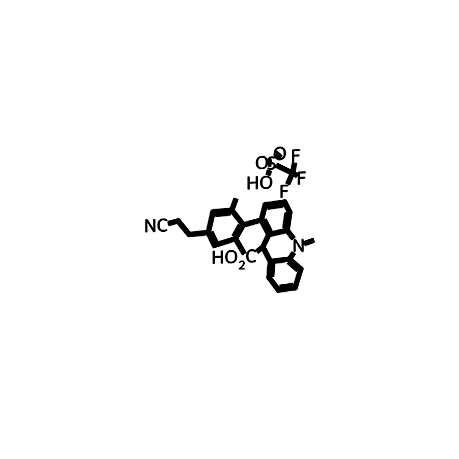 Cc1cc(CCC#N)cc(C)c1-c1cccc2c1C(C(=O)O)c1ccccc1N2C.O=S(=O)(O)C(F)(F)F